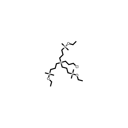 CCO[Si](C)(C)CCC[Si](CCCCl)(CCC[Si](C)(C)OCC)CCC[Si](C)(C)OCC